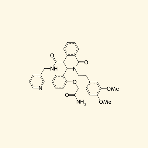 COc1ccc(CCN2C(=O)c3ccccc3C(C(=O)NCc3cccnc3)C2c2ccccc2OCC(N)=O)cc1OC